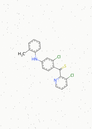 Cc1ccccc1Nc1ccc(C(=S)c2ncccc2Cl)c(Cl)c1